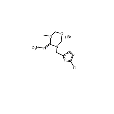 Br.CN1COCN(Cc2cnc(Cl)s2)/C1=N/[N+](=O)[O-]